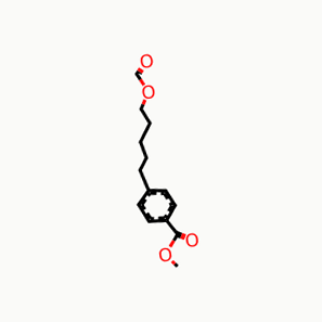 COC(=O)c1ccc(CCCCCOC=O)cc1